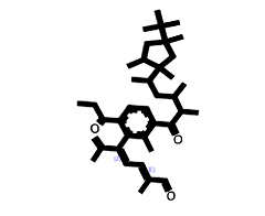 C=C(C)/C(=C/C=C(\C)C=O)c1c(C(=O)CC)ccc(C(=O)C(C)C(C)CC(C)C2(C)CC(C)(C(C)(C)C)CC2C)c1C